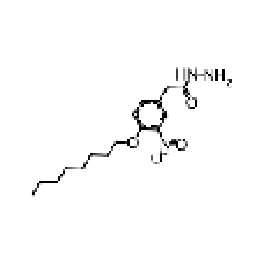 CCCCCCCCOc1ccc(CC(=O)NN)cc1[N+](=O)[O-]